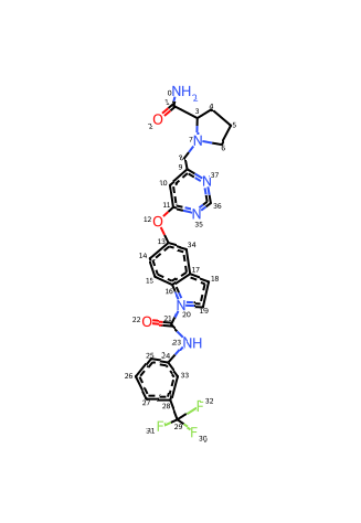 NC(=O)C1CCCN1Cc1cc(Oc2ccc3c(ccn3C(=O)Nc3cccc(C(F)(F)F)c3)c2)ncn1